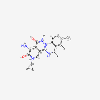 Cc1c(C(C)Nc2nn(C)c(=O)c3c(N)c(=O)n(C4CC4)cc23)cccc1C(F)(F)F